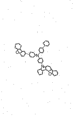 c1ccc(-c2ccc(N(c3ccc(-c4ccc5oc6ccccc6c5c4)cc3)c3ccc(-n4c5ccccc5c5c6oc7ccccc7c6ccc54)cc3)cc2)cc1